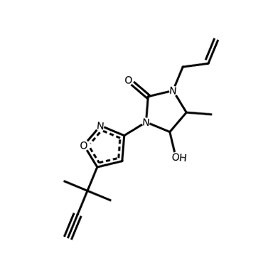 C#CC(C)(C)c1cc(N2C(=O)N(CC=C)C(C)C2O)no1